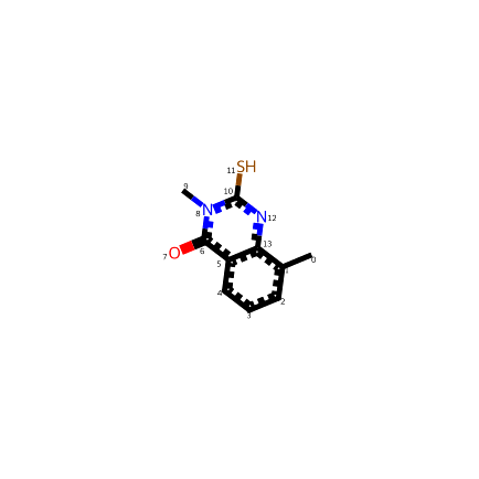 Cc1cccc2c(=O)n(C)c(S)nc12